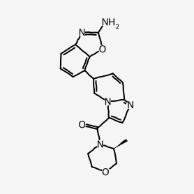 C[C@H]1COCCN1C(=O)c1cnc2ccc(-c3cccc4nc(N)oc34)cn12